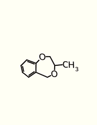 CC1COc2ccccc2CO1